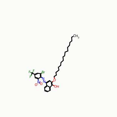 CCCCCCCCCCCCCCCCCCOc1cc(/N=N/c2c(Br)cc(C(F)(F)F)cc2[N+](=O)[O-])c2ccccc2c1O